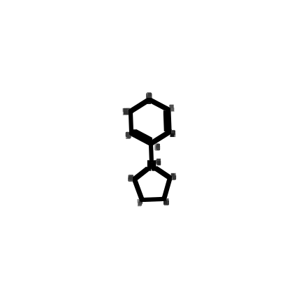 [CH]1C=CC(N2CCCC2)=CC1